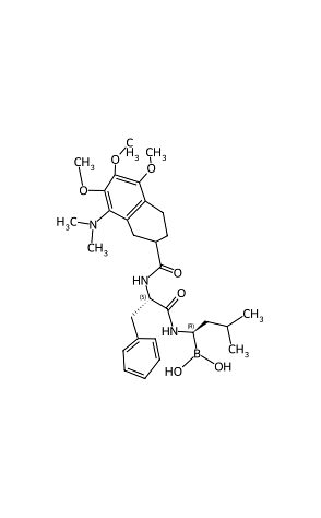 COc1c2c(c(N(C)C)c(OC)c1OC)CC(C(=O)N[C@@H](Cc1ccccc1)C(=O)N[C@@H](CC(C)C)B(O)O)CC2